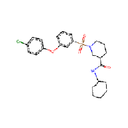 O=C(NC1CCCCC1)C1CCCN(S(=O)(=O)c2cccc(Oc3ccc(Cl)cc3)c2)C1